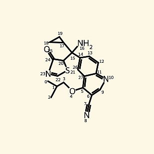 CC(C)COc1c(C#N)cnc2ccc(C(N)(C3CC3)C3SC=NC3=O)cc12